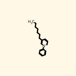 CCCCCCCc1ccc[n+](-c2ccccc2)c1